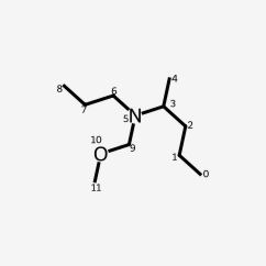 CCCC(C)N(CCC)COC